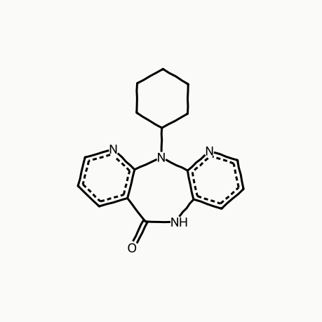 O=C1Nc2cccnc2N(C2CCCCC2)c2ncccc21